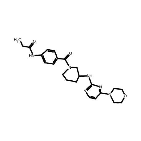 CCC(=O)Nc1ccc(C(=O)N2CCCC(Nc3nccc(N4CCOCC4)n3)C2)cc1